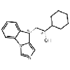 O[C@H](C[C@H]1c2ccccc2-n2cncc21)C1CCCCC1